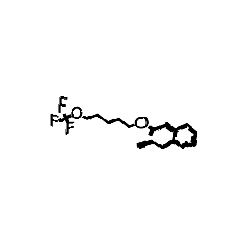 C=C/C=c1/cccc/c1=C/C(C)OCCCCCOC(F)(F)F